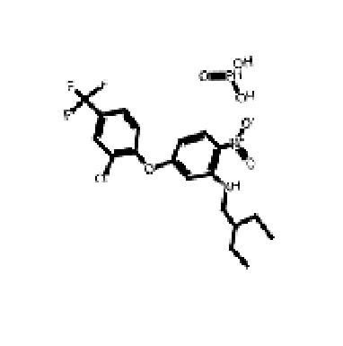 CCC(CC)CNc1cc(Oc2ccc(C(F)(F)F)cc2Cl)ccc1[N+](=O)[O-].O=[PH](O)O